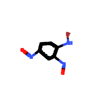 O=Nc1ccc(NBr)c(N=O)c1